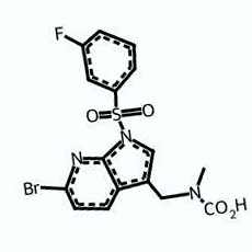 CN(Cc1cn(S(=O)(=O)c2cccc(F)c2)c2nc(Br)ccc12)C(=O)O